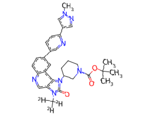 [2H]C([2H])([2H])n1c(=O)n(C2CCCN(C(=O)OC(C)(C)C)C2)c2c3cc(-c4ccc(-c5cnn(C)c5)nc4)ccc3ncc21